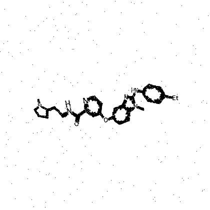 CCc1ccc(Nc2nc3cc(Oc4ccnc(C(=O)NCCC5CCCN5C)c4)ccc3n2C)cc1